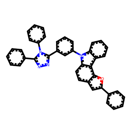 c1ccc(-c2cc3ccc4c(c5ccccc5n4-c4cccc(-c5nnc(-c6ccccc6)n5-c5ccccc5)c4)c3o2)cc1